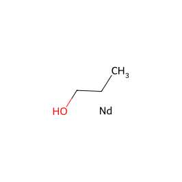 CCCO.[Nd]